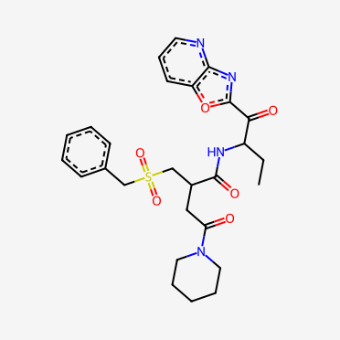 CCC(NC(=O)C(CC(=O)N1CCCCC1)CS(=O)(=O)Cc1ccccc1)C(=O)c1nc2ncccc2o1